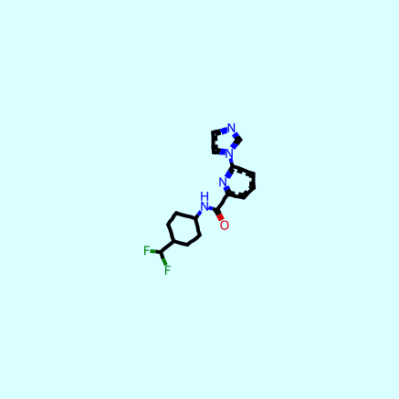 O=C(NC1CCC(C(F)F)CC1)c1cccc(-n2ccnc2)n1